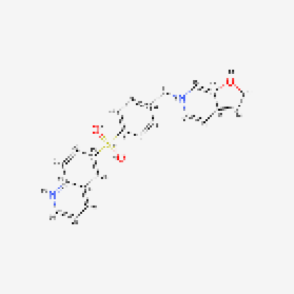 O=S(=O)(c1ccc(CN2C=CC3=CCOC3=C2)cc1)c1ccc2ncccc2c1